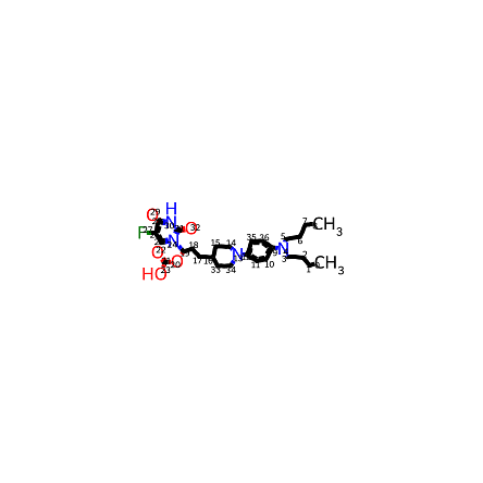 CCCCN(CCCC)c1ccc(N2CCC(CCC(OC(=O)O)n3cc(F)c(=O)[nH]c3=O)CC2)cc1